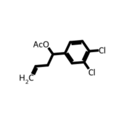 C=CCC(OC(C)=O)c1ccc(Cl)c(Cl)c1